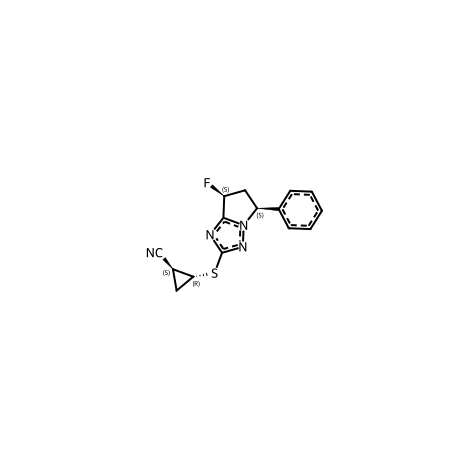 N#C[C@@H]1C[C@H]1Sc1nc2n(n1)[C@H](c1ccccc1)C[C@@H]2F